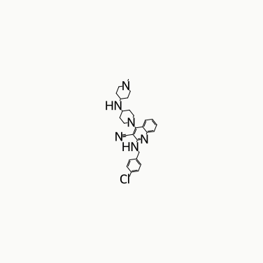 CN1CCC(NC2CCN(c3c(C#N)c(NCc4ccc(Cl)cc4)nc4ccccc34)CC2)CC1